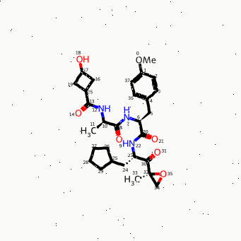 COc1ccc(C[C@H](NC(=O)[C@@H](C)NC(=O)C2CC(O)C2)C(=O)N[C@@H](CC2CCCC2)C(=O)[C@]2(C)CO2)cc1